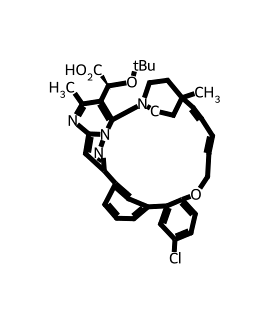 Cc1nc2cc3nn2c(c1[C@H](OC(C)(C)C)C(=O)O)N1CCC(C)(/C=C/C=C/COc2ccc(Cl)cc2-c2cccc-3c2)CC1